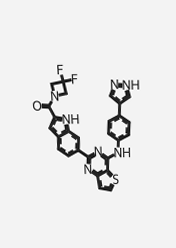 O=C(c1cc2ccc(-c3nc(Nc4ccc(-c5cn[nH]c5)cc4)c4sccc4n3)cc2[nH]1)N1CC(F)(F)C1